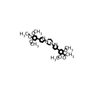 CCOc1c(OC)cc(-c2ccc(N3CCCN(c4ccc(-c5cc(OC)c(C(C)=O)c(OC)c5)cn4)CC3)nc2)cc1OC